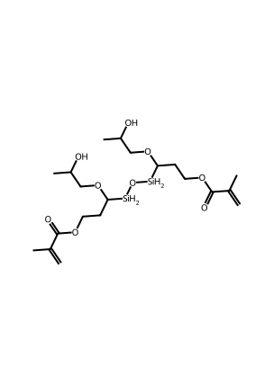 C=C(C)C(=O)OCCC(OCC(C)O)[SiH2]O[SiH2]C(CCOC(=O)C(=C)C)OCC(C)O